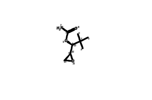 CC(C)(C)[C@H](OC(N)=O)[C@@H]1CO1